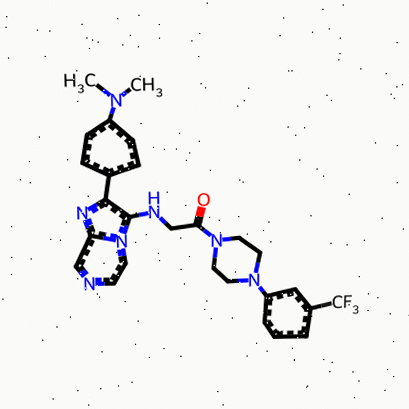 CN(C)c1ccc(-c2nc3cnccn3c2NCC(=O)N2CCN(c3cccc(C(F)(F)F)c3)CC2)cc1